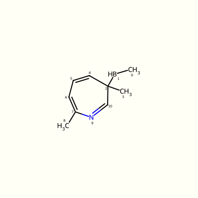 CBC1(C)C=CC=C(C)N=C1